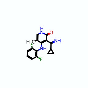 Cc1c[nH]c(=O)c(C(=N)C2CC2)c1Nc1c(F)cccc1F